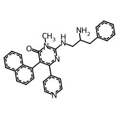 Cn1c(NCC(N)Cc2ccccc2)nc(-c2ccncc2)c(-c2cccc3ccccc23)c1=O